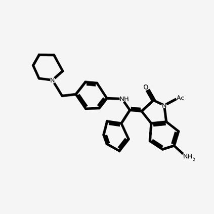 CC(=O)N1C(=O)/C(=C(\Nc2ccc(CN3CCCCC3)cc2)c2ccccc2)c2ccc(N)cc21